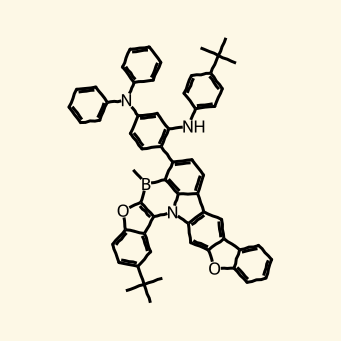 CB1c2oc3ccc(C(C)(C)C)cc3c2-n2c3cc4oc5ccccc5c4cc3c3ccc(-c4ccc(N(c5ccccc5)c5ccccc5)cc4Nc4ccc(C(C)(C)C)cc4)c1c32